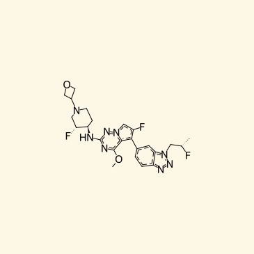 COc1nc(N[C@@H]2CCN(C3COC3)C[C@H]2F)nn2cc(F)c(-c3ccc4nnn(C[C@H](C)F)c4c3)c12